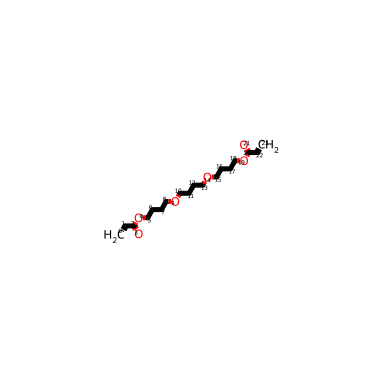 C=CC(=O)OCCCCOCCCCOCCCCOC(=O)C=C